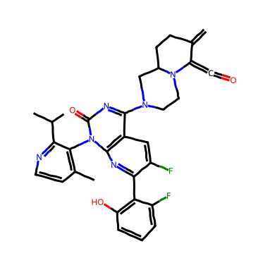 C=C1CCC2CN(c3nc(=O)n(-c4c(C)ccnc4C(C)C)c4nc(-c5c(O)cccc5F)c(F)cc34)CCN2C1=C=O